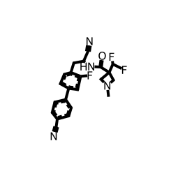 CN1CC(C(=O)NC(C#N)Cc2ccc(-c3ccc(C#N)cc3)cc2F)(C(F)F)C1